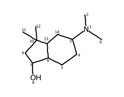 CN(C)C1CCC2C(O)CC(C)(C)C2C1